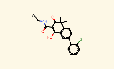 CC(=O)CNC(=O)C1=C(O)c2cc(-c3ccccc3Cl)ccc2C(C)(C)C1=O